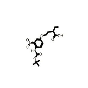 CCC(CCOc1ccc(NC(=O)OC(C)(C)C)c([N+](=O)[O-])c1)C(=O)O